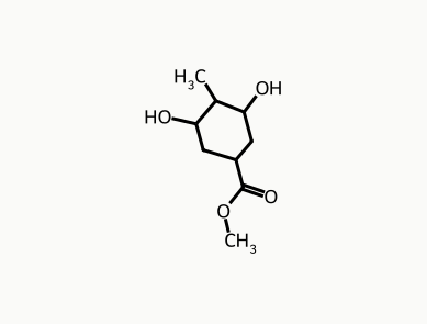 COC(=O)C1CC(O)C(C)C(O)C1